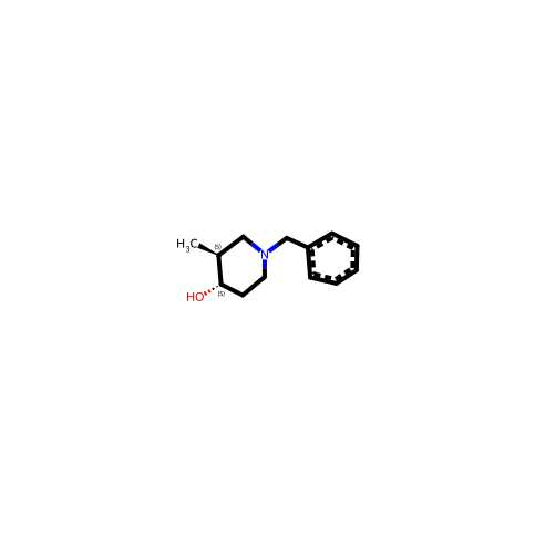 C[C@H]1CN(Cc2ccccc2)CC[C@@H]1O